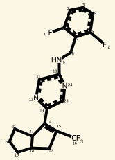 Fc1cccc(F)c1CNc1cnc(C2=C(C(F)(F)F)CC3CCCC23)cn1